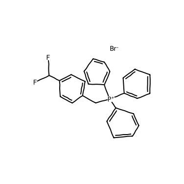 FC(F)c1ccc(C[P+](c2ccccc2)(c2ccccc2)c2ccccc2)cc1.[Br-]